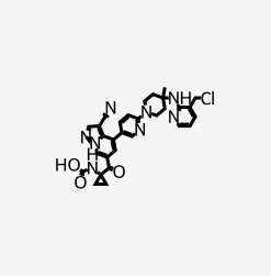 CC1(Nc2ncccc2CCl)CCN(c2ccc(-c3cc(C(=O)C4(NC(=O)O)CC4)cn4ncc(C#N)c34)cn2)CC1